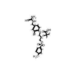 Cc1ccc(S(=O)(=O)OCCCOc2ccc(CNC(=N)N)cc2Br)cc1.O=C(O)C(F)(F)F